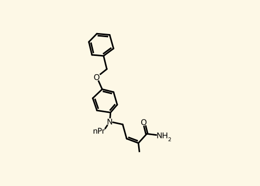 C[CH]CN(CC=C(C)C(N)=O)c1ccc(OCc2ccccc2)cc1